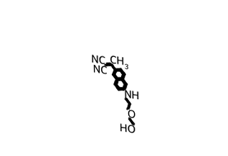 CC(=C(C#N)C#N)c1ccc2cc(NCCCOCCO)ccc2c1